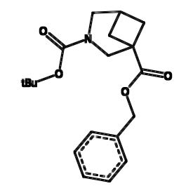 CC(C)(C)OC(=O)N1CC2CC(C(=O)OCc3ccccc3)(C2)C1